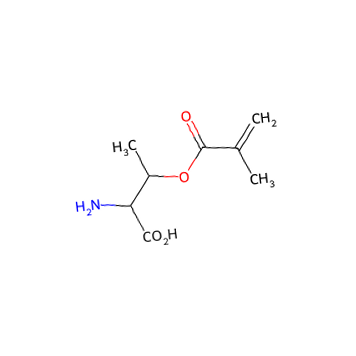 C=C(C)C(=O)OC(C)C(N)C(=O)O